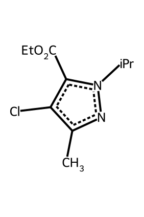 CCOC(=O)c1c(Cl)c(C)nn1C(C)C